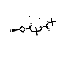 CC(C)(CNC(=O)OC(C)(C)C)CC(=O)N1CC(C#N)C1